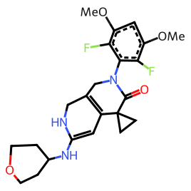 COc1cc(OC)c(F)c(N2CC3=C(C=C(NC4CCOCC4)NC3)C3(CC3)C2=O)c1F